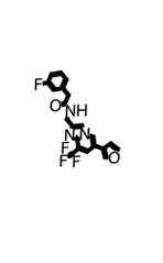 O=C(Cc1cccc(F)c1)NCc1cn2cc(-c3ccoc3)cc(C(F)(F)F)c2n1